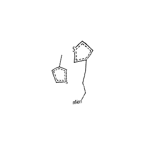 CCCCCCCCCCCCc1ccsc1.Cc1ccsc1